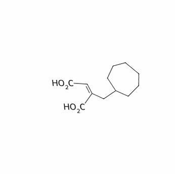 O=C(O)C=C(CC1CCCCCC1)C(=O)O